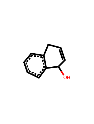 OC1C=CCc2ccccc21